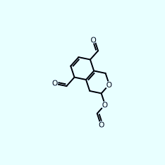 O=COC1CC2=C(CO1)C(C=O)C=CC2C=O